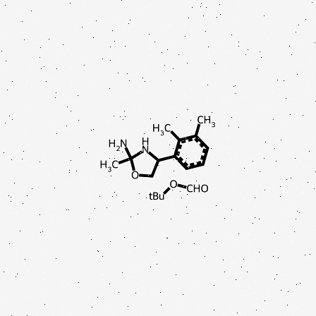 CC(C)(C)OC=O.Cc1cccc(C2COC(C)(N)N2)c1C